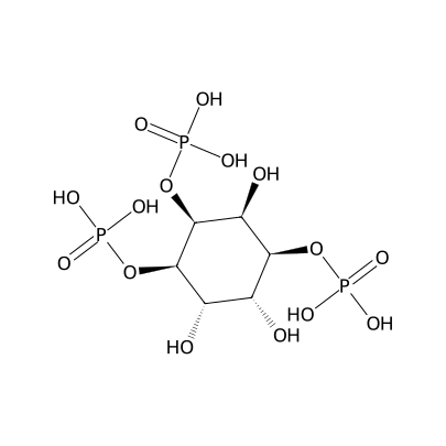 O=P(O)(O)O[C@H]1[C@H](O)[C@H](O)[C@@H](OP(=O)(O)O)[C@@H](OP(=O)(O)O)[C@H]1O